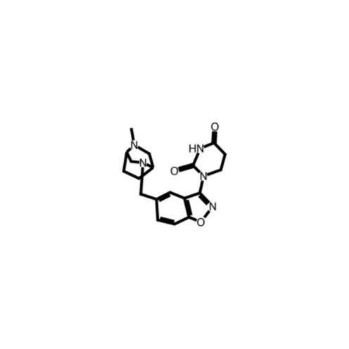 CN1CC2CCC1CN2Cc1ccc2onc(N3CCC(=O)NC3=O)c2c1